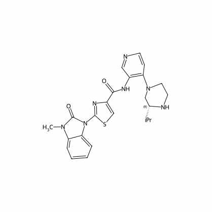 CC(C)[C@@H]1CN(c2ccncc2NC(=O)c2csc(-n3c(=O)n(C)c4ccccc43)n2)CCN1